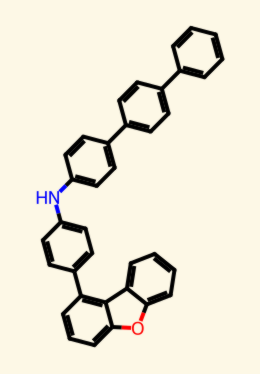 c1ccc(-c2ccc(-c3ccc(Nc4ccc(-c5cccc6oc7ccccc7c56)cc4)cc3)cc2)cc1